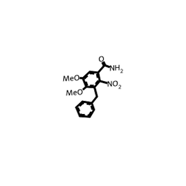 COc1cc(C(N)=O)c([N+](=O)[O-])c(Cc2ccccc2)c1OC